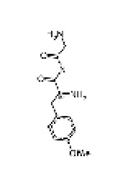 COc1ccc(C[C@H](N)C(=O)[N]C(=O)CN)cc1